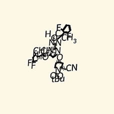 C[C@H](Oc1cc(O[C@H]2CCN(C(=O)OC(C)(C)C)[C@H](CC#N)C2)nc(-c2noc(C(C)(C)c3c(F)cccc3F)n2)n1)[C@@H]1CC(F)(F)CN1C